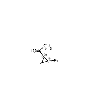 CC(=O)[C@@H]1C[C@@H]1F